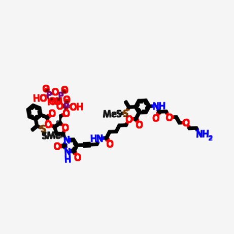 CSSC(C)c1ccc(NC(=O)COCCOCCN)cc1C(=O)OCCCCC(=O)NCC#Cc1cn([C@H]2CC(OC(=O)c3ccccc3C(C)SSC)[C@@H](COP(=O)(O)OP(=O)(O)OP(=O)(O)O)O2)c(=O)[nH]c1=O